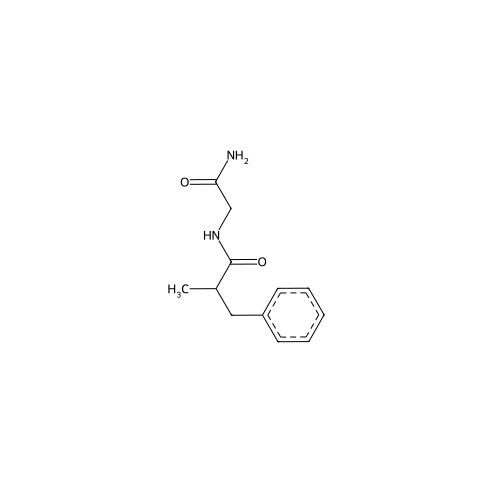 CC(Cc1ccccc1)C(=O)NCC(N)=O